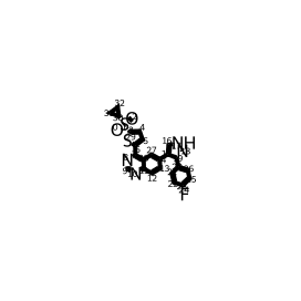 O=S(=O)(c1ccc(-c2ncnc3ccc(-c4c[nH]nc4-c4ccc(F)cc4)cc23)s1)C1CC1